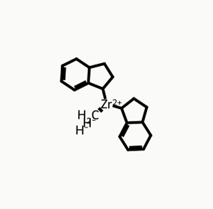 [CH2]=[Zr+2]([CH]1CCC2CC=CC=C21)[CH]1CCC2CC=CC=C21.[H-].[H-]